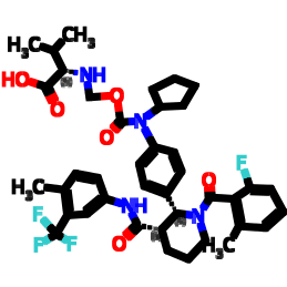 Cc1ccc(NC(=O)[C@H]2CCCN(C(=O)c3c(C)cccc3F)[C@H]2c2ccc(N(C(=O)OCN[C@H](C(=O)O)C(C)C)C3CCCC3)cc2)cc1C(F)(F)F